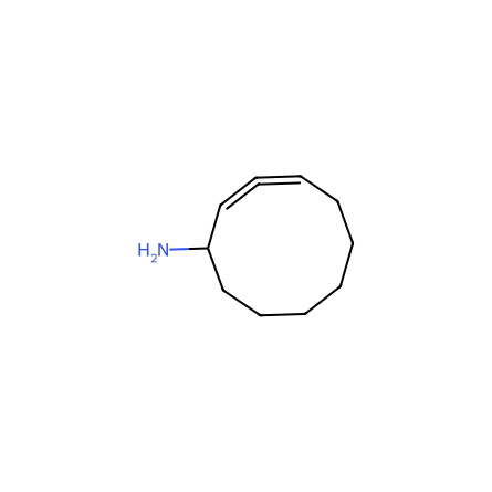 NC1C=C=CCCCCCC1